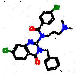 CN(C)CCCN(C(=O)c1ccc(Br)cc1)c1nc2cc(Cl)ccc2c(=O)n1Cc1ccccc1